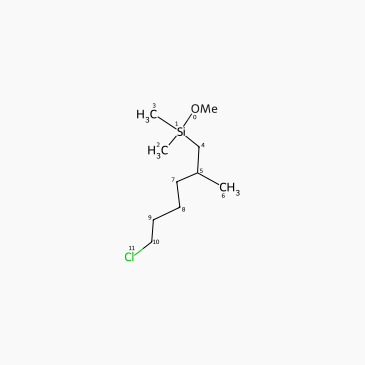 CO[Si](C)(C)CC(C)CCCCCl